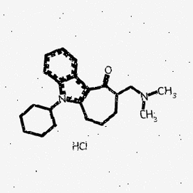 CN(C)CC1CCCc2c(c3ccccc3n2C2CCCCC2)C1=O.Cl